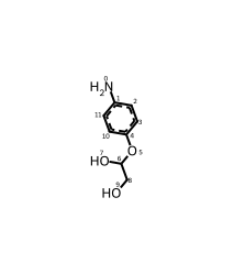 Nc1ccc(OC(O)CO)cc1